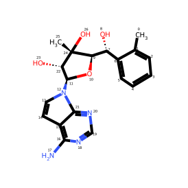 Cc1ccccc1[C@@H](O)[C@H]1O[C@@H](n2ccc3c(N)ncnc32)[C@H](O)[C@]1(C)O